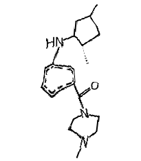 CC1CC(Nc2cccc(C(=O)N3CCN(C)CC3)c2)[C@@H](C)C1